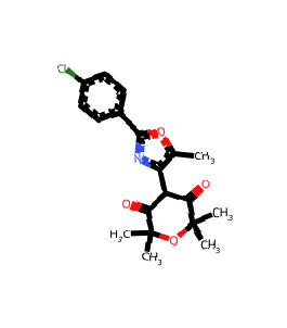 Cc1oc(-c2ccc(Cl)cc2)nc1C1C(=O)C(C)(C)OC(C)(C)C1=O